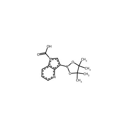 CC1(C)OB(c2cn(C(=O)O)c3cccnc23)OC1(C)C